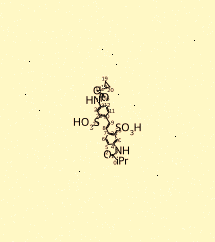 CC(C)C(=O)Nc1ccc(C=Cc2ccc(NS(=O)(=O)C3CC3)cc2S(=O)(=O)O)c(S(=O)(=O)O)c1